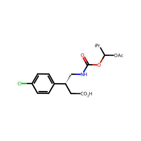 CC(=O)OC(OC(=O)NC[C@H](CC(=O)O)c1ccc(Cl)cc1)C(C)C